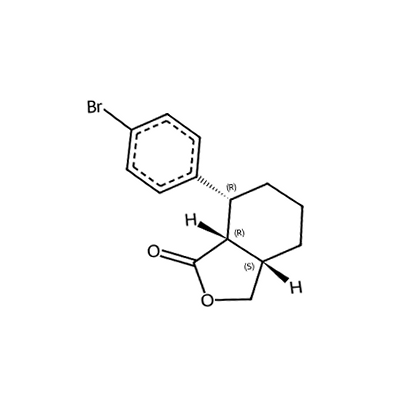 O=C1OC[C@H]2CCC[C@@H](c3ccc(Br)cc3)[C@@H]12